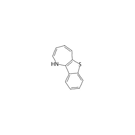 C1=CNc2c(sc3ccccc23)C=C1